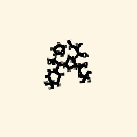 CCN(C)C(=O)[C@@H]1C[C@H](N(C(=O)[C@@H]2CCCO2)C2CCC(C)(C)CC2)CN1C(=O)OC(C)(C)C